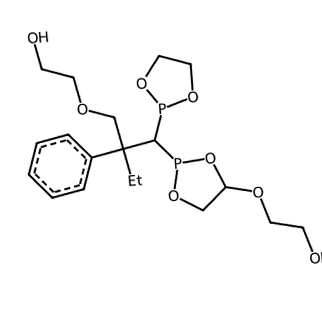 CCC(COCCO)(c1ccccc1)C(P1OCCO1)P1OCC(OCCO)O1